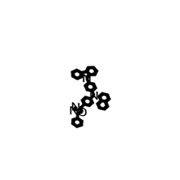 c1ccc(-c2nnc(-c3ccc(N(c4ccc(-n5c6ccccc6c6ccccc65)cc4)c4cccc5ccccc45)cc3)o2)cc1